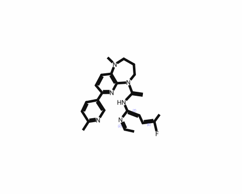 C=C(NC(=C/C=C(\C)F)/N=C\C)N1CCCN(C)c2ccc(-c3ccc(C)nc3)nc21